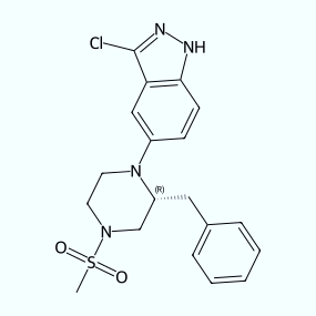 CS(=O)(=O)N1CCN(c2ccc3[nH]nc(Cl)c3c2)[C@H](Cc2ccccc2)C1